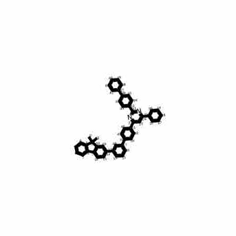 CC1(C)c2ccccc2-c2ccc(-c3cccc(-c4ccc(-c5cc(-c6ccccc6)nc(-c6ccc(-c7ccccc7)cc6)n5)cc4)c3)cc21